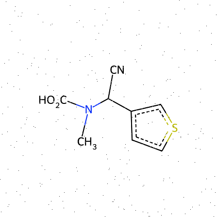 CN(C(=O)O)C(C#N)c1ccsc1